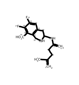 C=C(C)CCC(=C)NC1BCc2c(cc(F)c(F)c2C(=O)O)C1